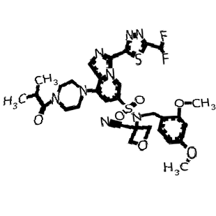 COc1ccc(CN(C2(C#N)COC2)S(=O)(=O)c2cc(N3CCN(C(=O)C(C)C)CC3)c3cnc(-c4nnc(C(F)F)s4)n3c2)c(OC)c1